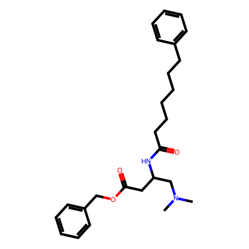 CN(C)CC(CC(=O)OCc1ccccc1)NC(=O)CCCCCCc1ccccc1